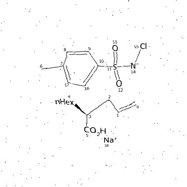 C=CC[C@H](CCCCCC)C(=O)O.Cc1ccc(S(=O)(=O)[N-]Cl)cc1.[Na+]